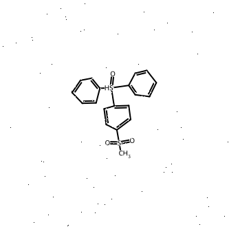 CS(=O)(=O)c1ccc([SH](=O)(c2ccccc2)c2ccccc2)cc1